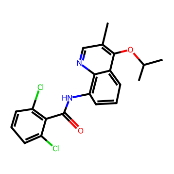 Cc1cnc2c(NC(=O)c3c(Cl)cccc3Cl)cccc2c1OC(C)C